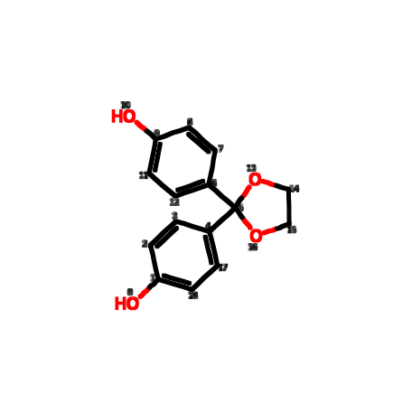 Oc1ccc(C2(c3ccc(O)cc3)OCCO2)cc1